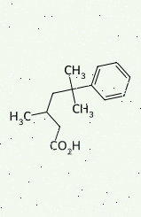 CC(CC(=O)O)CC(C)(C)c1ccccc1